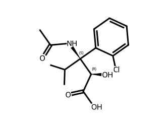 CC(=O)N[C@](c1ccccc1Cl)(C(C)C)[C@@H](O)C(=O)O